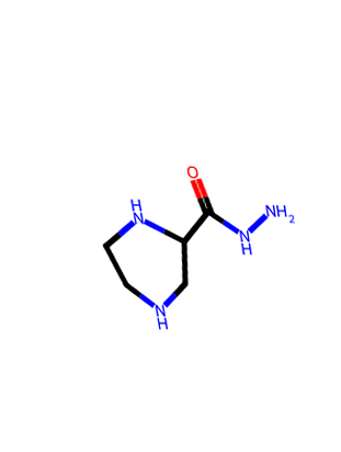 NNC(=O)C1CNCCN1